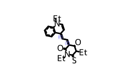 CCC1C(=O)/C(=C/C=C2\C=CN(CC)c3ccccc32)C(=O)N(CC)C1=S